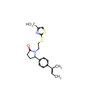 C/C=C(\C)c1ccc(C2CCC(=O)N2CCSc2nc(C(=O)O)cs2)cc1